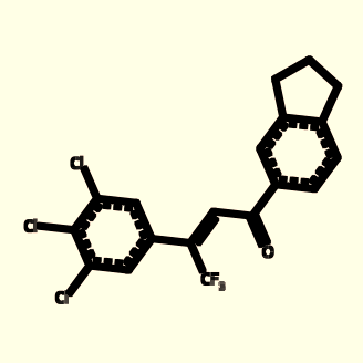 O=C(/C=C(/c1cc(Cl)c(Cl)c(Cl)c1)C(F)(F)F)c1ccc2c(c1)CCC2